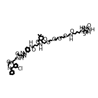 CC1(C)CC(=O)C(=C(CCOCCOCCOCCOCCNC(=O)CCCC[C@@H]2SC[C@@H]3NC(=O)N[C@@H]32)NCCCC(=O)Nc2ccc(-n3nnc(C(=O)NCCCN4C(=O)CN=C(c5ccccc5)c5cc(Cl)ccc54)n3)cc2)C(=O)C1